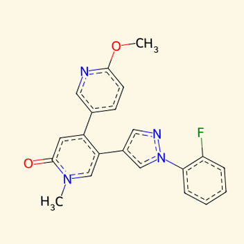 COc1ccc(-c2cc(=O)n(C)cc2-c2cnn(-c3ccccc3F)c2)cn1